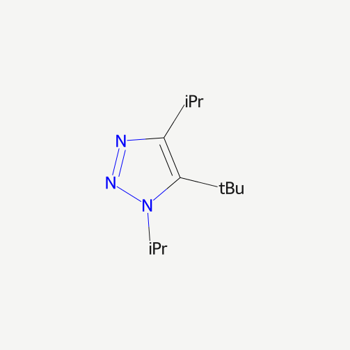 CC(C)c1nnn(C(C)C)c1C(C)(C)C